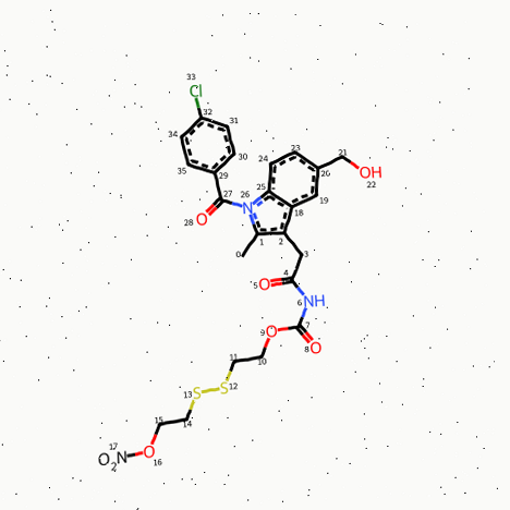 Cc1c(CC(=O)NC(=O)OCCSSCCO[N+](=O)[O-])c2cc(CO)ccc2n1C(=O)c1ccc(Cl)cc1